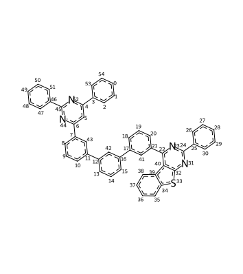 c1ccc(-c2cc(-c3cccc(-c4cccc(-c5cccc(-c6nc(-c7ccccc7)nc7sc8ccccc8c67)c5)c4)c3)nc(-c3ccccc3)n2)cc1